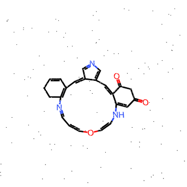 O=C1C=c2[nH]ccocccnc3c(cc4c(cc2C(=O)C1)=CN=C4)C=CCC3